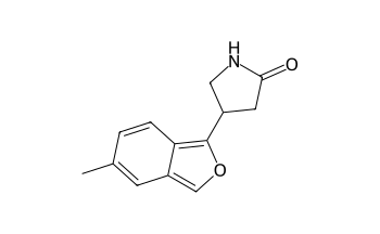 Cc1ccc2c(C3CNC(=O)C3)occ2c1